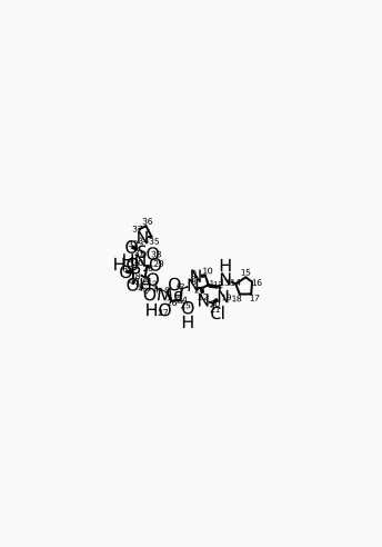 COC[C@](OC[C@H]1O[C@@H](n2ncc3c(NC4CCCC4)nc(Cl)nc32)[C@H](O)[C@@H]1O)(C(=O)NS(=O)(=O)N1CCC1)P(=O)(O)O